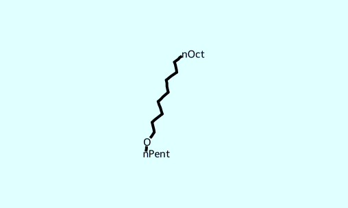 C[CH]CCCOCCCCCCCCCCCCCCCC